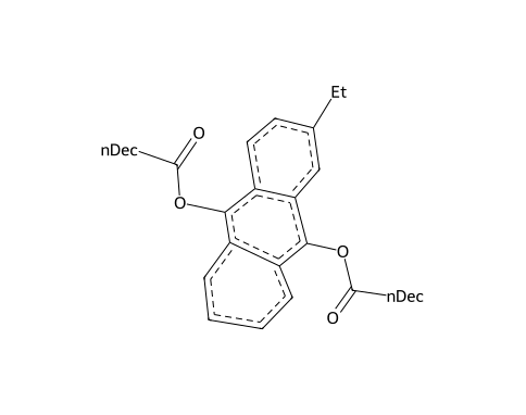 CCCCCCCCCCC(=O)Oc1c2ccccc2c(OC(=O)CCCCCCCCCC)c2cc(CC)ccc12